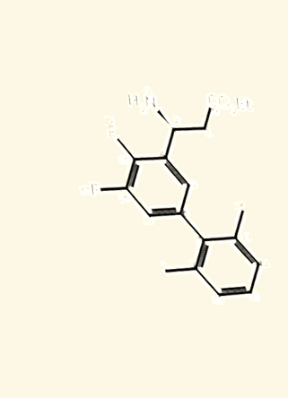 CCOC(=O)C[C@H](N)c1cc(-c2c(C)cccc2C)cc(F)c1F